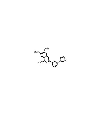 COc1cc2cc(-c3cccc(-c4ccoc4)c3)nc(C)c2cc1OC